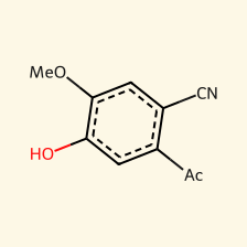 COc1cc(C#N)c(C(C)=O)cc1O